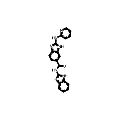 O=C(Nc1nc2ccccc2[nH]1)c1ccc2nc(Nc3ccccn3)[nH]c2c1